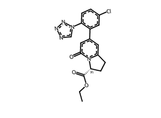 CCOC(=O)[C@H]1CCc2cc(-c3cc(Cl)ccc3-n3cnnn3)cc(=O)n21